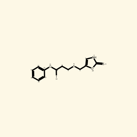 S=c1[nH]cc(CSCCC(I)Oc2ccccc2)o1